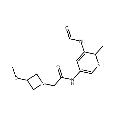 COC1CN(CC(=O)NC2=CNC(C)C(NC=O)=C2)C1